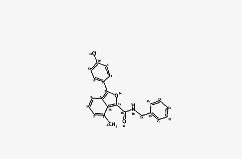 Cc1cccc2c(-c3ccc(Cl)cc3)oc(C(=O)NCc3ccccc3)c12